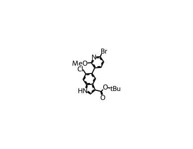 COc1nc(Br)ccc1-c1cc2c(C(=O)OC(C)(C)C)c[nH]c2cc1Cl